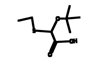 CCSC(OC(C)(C)C)C(=O)O